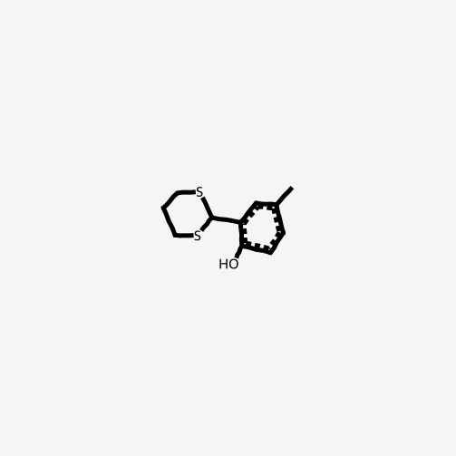 Cc1ccc(O)c(C2SCCCS2)c1